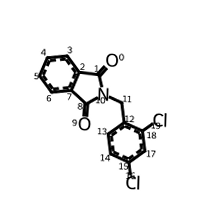 O=C1c2ccccc2C(=O)N1Cc1ccc(Cl)cc1Cl